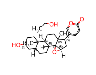 CCO.C[C@]12CC[C@H](O)C[C@H]1CC[C@@H]1[C@@H]2CC[C@]2(C)[C@@H](c3ccc(=O)oc3)C[C@H]3O[C@]132